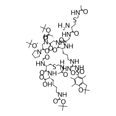 CC(=O)NCSC[C@@H](N)C(=O)NCC(=O)N[C@@H](CCCNC(=N)NS(=O)(=O)c1c(C)c(C)c2c(c1C)CC(C)(C)O2)C(=O)N[C@@H](CC(=O)OC(C)(C)C)C(=O)N[C@@H](COC(C)(C)C)C(=O)N1CCC[C@H]1C(=O)N[C@@H](CSCNC(C)=O)C(=O)N[C@@H](CCCCNC(=O)OC(C)(C)C)C(=O)O